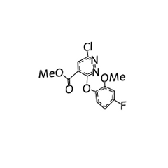 COC(=O)c1cc(Cl)nnc1Oc1ccc(F)cc1OC